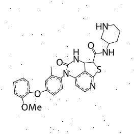 COc1ccccc1Oc1ccc(N2C(=O)NC3c4c2ccnc4SC3C(=O)NC2CCCNC2)c(C)c1